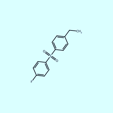 CCc1ccc(S(=O)(=O)c2ccc(F)cc2)cc1